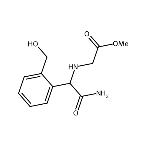 COC(=O)CNC(C(N)=O)c1ccccc1CO